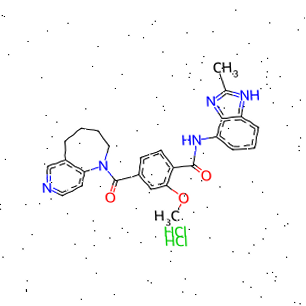 COc1cc(C(=O)N2CCCCc3cnccc32)ccc1C(=O)Nc1cccc2[nH]c(C)nc12.Cl.Cl